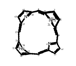 [c]1c2nc(cc3ccc(cc4nc(cc5ccc1[nH]5)C=C4)[nH]3)C=C2